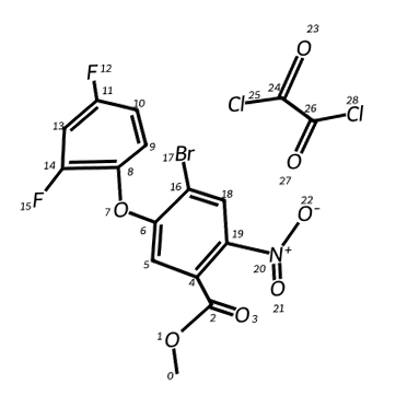 COC(=O)c1cc(Oc2ccc(F)cc2F)c(Br)cc1[N+](=O)[O-].O=C(Cl)C(=O)Cl